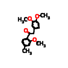 COc1ccc(CC(=O)c2ccc(C)cc2OC)cc1OC